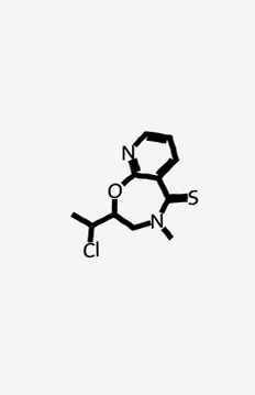 CC(Cl)C1CN(C)C(=S)c2cccnc2O1